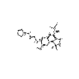 COc1cc2c3c(c(NC(C)C)nc2cc1OCCCN1CCCC1)COC3(C)C